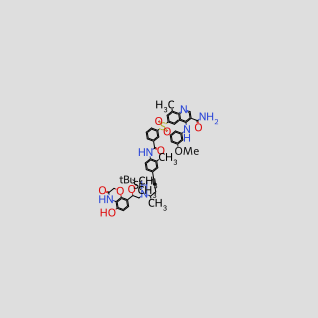 COc1cccc(Nc2c(C(N)=O)cnc3c(C)cc(S(=O)(=O)c4cccc(C(=O)Nc5ccc(C#CCC(C)NCC(O[Si](C)(C)C(C)(C)C)c6ccc(O)c7c6OCC(=O)N7)cc5C)c4)cc23)c1